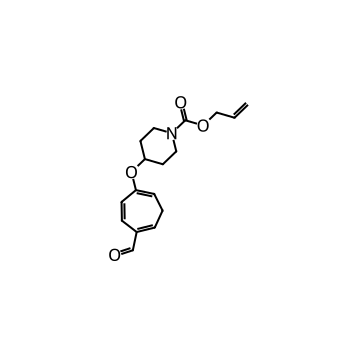 C=CCOC(=O)N1CCC(OC2=CCC=C(C=O)C=C2)CC1